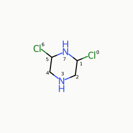 ClC1CNCC(Cl)N1